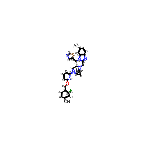 CC(=O)c1ccc2nc(CN3CCN(c4cccc(OCc5ccc(C#N)cc5F)n4)[C@H]4C[C@H]43)n(Cc3cncs3)c2c1